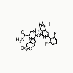 CC1(C)[C@H]2CC[C@]1(CN(CCC(N)=O)C(=O)c1coc(CS(C)(=O)=O)n1)c1nnc(-c3c(F)cccc3F)cc12